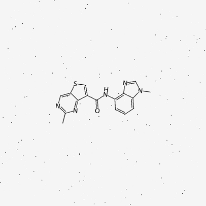 Cc1ncc2scc(C(=O)Nc3cccc4c3ncn4C)c2n1